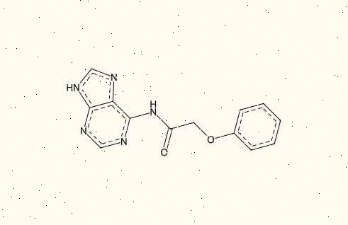 O=C(COc1ccccc1)Nc1ncnc2[nH]cnc12